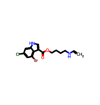 C=CNCCCCOC(=O)c1c[nH]c2cc(Cl)cc(Br)c12